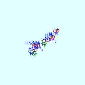 CN[C@@H]1CN/C(=C(\C=N\C[C@H](C)c2c3c(c(NC(=O)N=S(N)(=O)c4cnn5c4OC[C@H](N(C)C(=O)OC(C)(C)C)C5)c(C)c2C(F)(F)F)CCC3)S(N)(=O)=NC(=O)Nc2c(C)c(C(F)(F)F)nc3c2CCC3)OC1